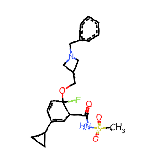 CS(=O)(=O)NC(=O)C1C=C(C2CC2)C=CC1(F)OCC1CN(Cc2ccccc2)C1